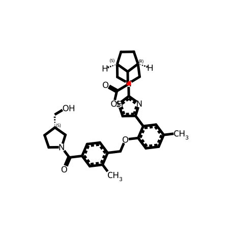 Cc1ccc(OCc2ccc(C(=O)N3CC[C@H](CO)C3)cc2C)c(-c2csc(N3C[C@H]4CC[C@@H](C3)C4CC(=O)O)n2)c1